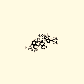 CC(C)C1C=C([C@H](Nc2nc3nsnc3nc2Nc2cccc(C(=O)N(C)C)c2O)C(C)(C)C)OC1